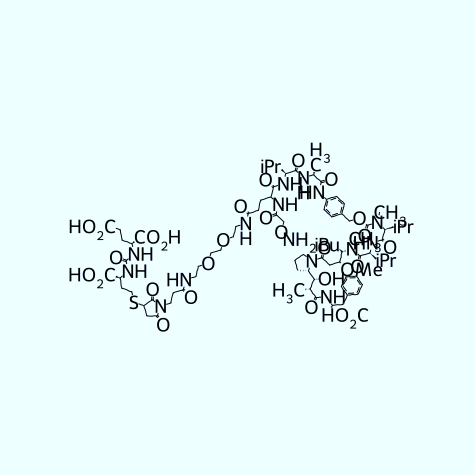 CC[C@H](C)[C@@H]([C@@H](CC(=O)N1CCC[C@H]1[C@H](O)[C@@H](C)C(=O)N[C@@H](Cc1ccccc1)C(=O)O)OC)N(C)C(=O)[C@@H](NC(=O)[C@H](C(C)C)N(C)C(=O)OCc1ccc(NC(=O)[C@H](C)NC(=O)[C@@H](NC(=O)C(CCC(=O)NCCOCCOCCNC(=O)CCN2C(=O)CC(SCC[C@H](NC(=O)N[C@@H](CCC(=O)O)C(=O)O)C(=O)O)C2=O)NC(=O)CON)C(C)C)cc1)C(C)C